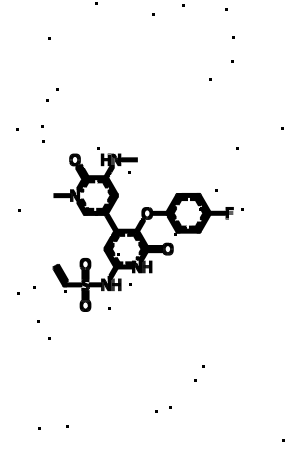 C=CS(=O)(=O)Nc1cc(-c2cc(NC)c(=O)n(C)c2)c(Oc2ccc(F)cc2)c(=O)[nH]1